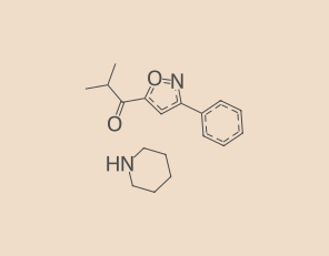 C1CCNCC1.CC(C)C(=O)c1cc(-c2ccccc2)no1